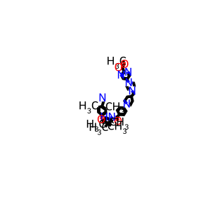 COC(=O)c1ncc(N2CCN(CC3CCN(c4ccc(C(=O)NC5(C)CC(C)(Oc6cc(C)c(C#N)c(C)c6)C5(C)C)cc4)CC3)CC2)cn1